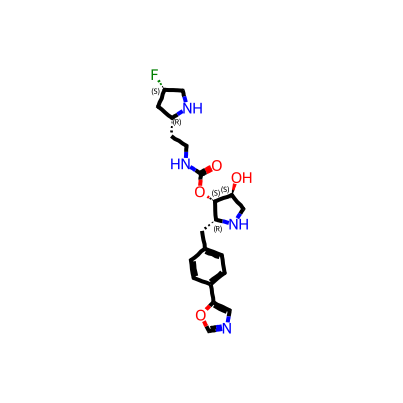 O=C(NCC[C@@H]1C[C@H](F)CN1)O[C@@H]1[C@@H](O)CN[C@@H]1Cc1ccc(-c2cnco2)cc1